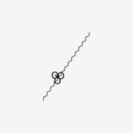 CCCCCCCCCCCCCCCCCOC(=O)OCCCCCCCC